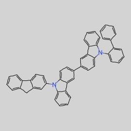 c1ccc(-c2ccccc2-n2c3ccccc3c3cc(-c4ccc5c(c4)c4ccccc4n5-c4ccc5c(c4)Cc4ccccc4-5)ccc32)cc1